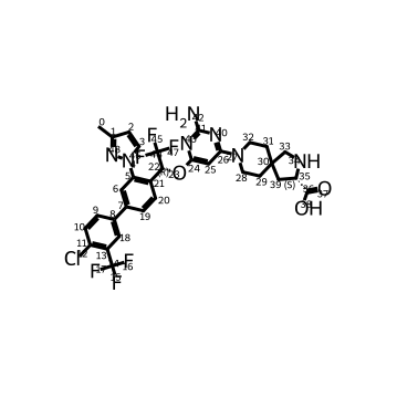 Cc1ccn(-c2cc(-c3ccc(Cl)c(C(F)(F)F)c3)ccc2[C@@H](Oc2cc(N3CCC4(CC3)CN[C@H](C(=O)O)C4)nc(N)n2)C(F)(F)F)n1